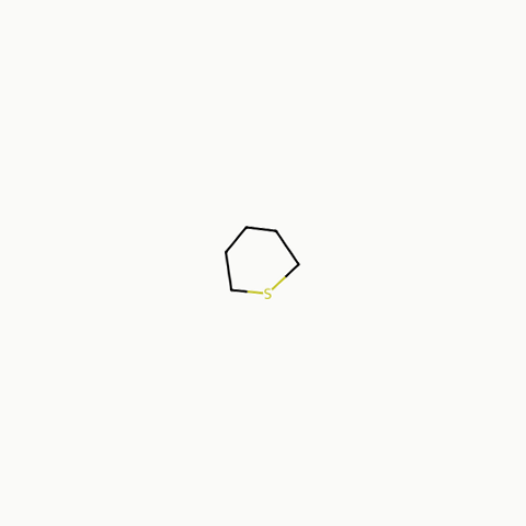 C1CCSCC1